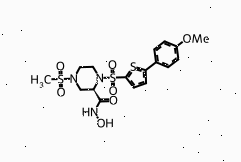 COc1ccc(-c2ccc(S(=O)(=O)N3CCN(S(C)(=O)=O)C[C@@H]3C(=O)NO)s2)cc1